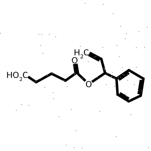 C=CC(OC(=O)CCCC(=O)O)c1ccccc1